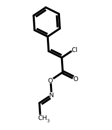 C/C=N/OC(=O)/C(Cl)=C/c1ccccc1